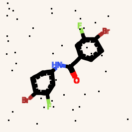 O=C(Nc1ccc(Br)c(F)c1)c1ccc(Br)c(F)c1